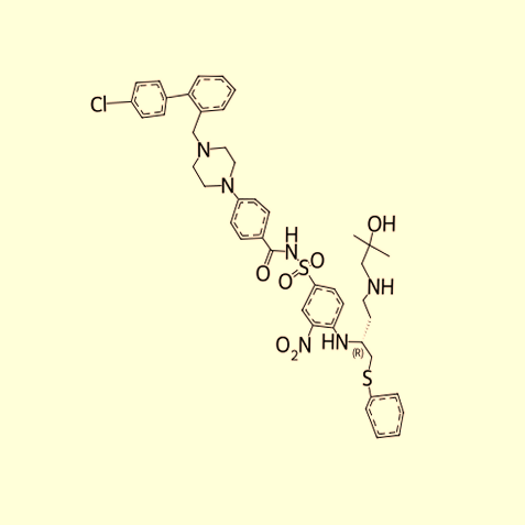 CC(C)(O)CNCC[C@H](CSc1ccccc1)Nc1ccc(S(=O)(=O)NC(=O)c2ccc(N3CCN(Cc4ccccc4-c4ccc(Cl)cc4)CC3)cc2)cc1[N+](=O)[O-]